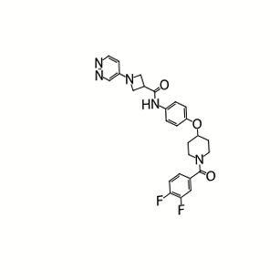 O=C(Nc1ccc(OC2CCN(C(=O)c3ccc(F)c(F)c3)CC2)cc1)C1CN(c2ccnnc2)C1